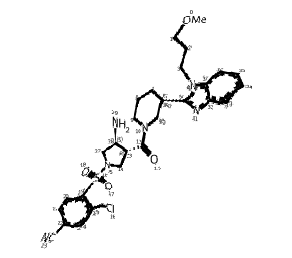 COCCCn1c([C@@H]2CCCN(C(=O)[C@@H]3CN(S(=O)(=O)c4ccc(C#N)cc4Cl)C[C@H]3N)C2)nc2ccccc21